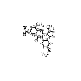 COc1ccc(-n2c([C@@H]3CCCN3C)nc3c(C)cc([N+](=O)[O-])cc3c2=O)cc1